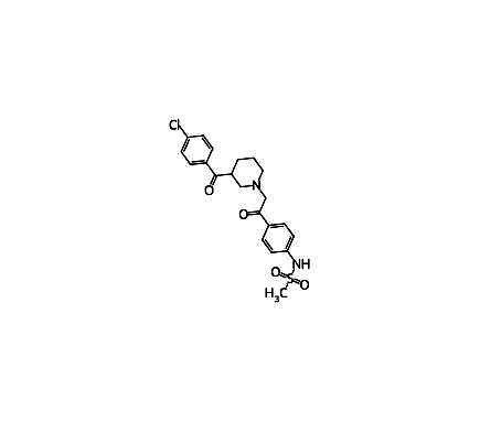 CS(=O)(=O)Nc1ccc(C(=O)CN2CCCC(C(=O)c3ccc(Cl)cc3)C2)cc1